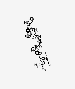 COc1c(OC[C@@H](O)CN2CCCC2)ccc2c1N=C(NC(=O)c1cnc(-c3ncc(C(=O)NC4=Nc5c(ccc(OC[C@@H](O)CN(C(C)C)C(C)C)c5OC)C5=NCCN45)s3)o1)N1CCN=C21